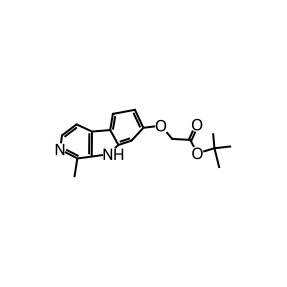 Cc1nccc2c1[nH]c1cc(OCC(=O)OC(C)(C)C)ccc12